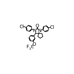 O=C1N(c2ccc(Cl)cc2)C(c2cccc(OC(F)(F)F)c2)C2(CCCC2)N1c1ccc(Cl)cc1